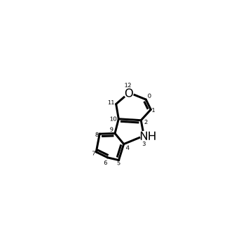 C1=Cc2[nH]c3ccccc3c2CO1